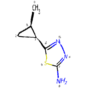 C[C@@H]1C[C@@H]1c1nnc(N)s1